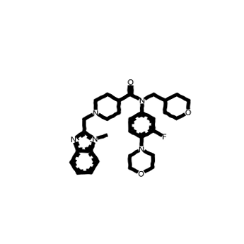 Cn1c(CN2CCC(C(=O)N(CC3CCOCC3)c3ccc(N4CCOCC4)c(F)c3)CC2)nc2ccccc21